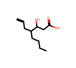 C=CCC(CCCC)C(O)CC(=O)O